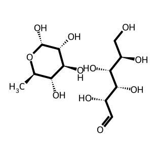 C[C@H]1O[C@H](O)[C@H](O)[C@@H](O)[C@@H]1O.O=C[C@H](O)[C@@H](O)[C@H](O)[C@H](O)CO